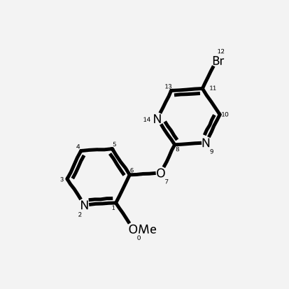 COc1ncccc1Oc1ncc(Br)cn1